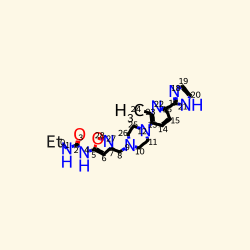 CCNC(=O)Nc1cc(CN2CCN(c3ccc(-c4ncc[nH]4)nc3C)CC2)no1